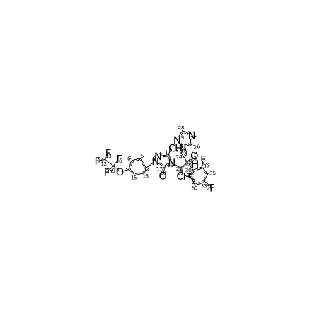 Cc1nn(-c2ccc(OC(F)(F)C(F)F)cc2)c(=O)n1[C@H](C)[C@](O)(Cn1cncn1)c1ccc(F)cc1F